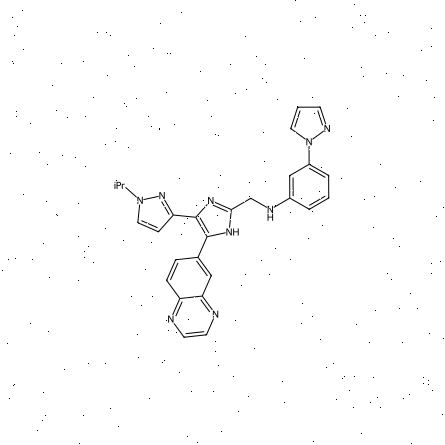 CC(C)n1ccc(-c2nc(CNc3cccc(-n4cccn4)c3)[nH]c2-c2ccc3nccnc3c2)n1